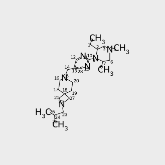 CCC1CN(C)CC(C)N1c1ncc(CN2CCC3(CC2)CN(CC(C)C)C3)cn1